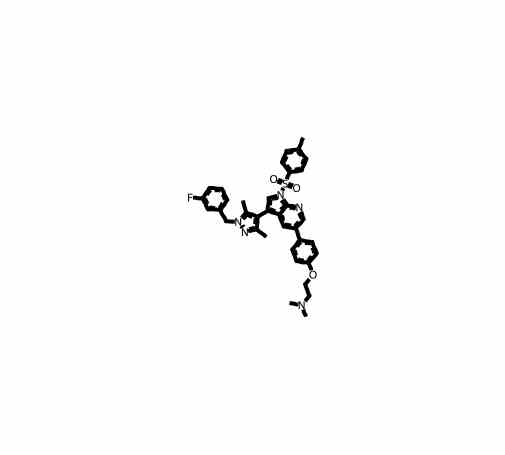 Cc1ccc(S(=O)(=O)n2cc(-c3c(C)nn(Cc4cccc(F)c4)c3C)c3cc(-c4ccc(OCCN(C)C)cc4)cnc32)cc1